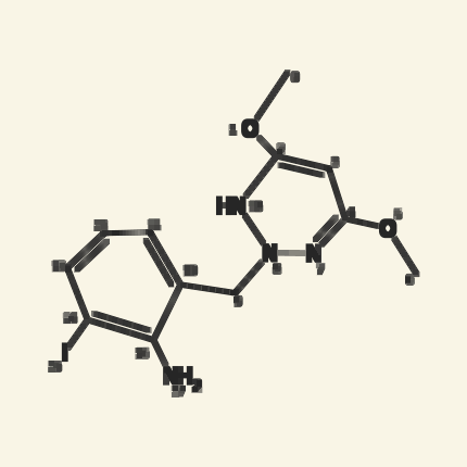 COC1=CC(OC)=NN(Cc2cccc(I)c2N)N1